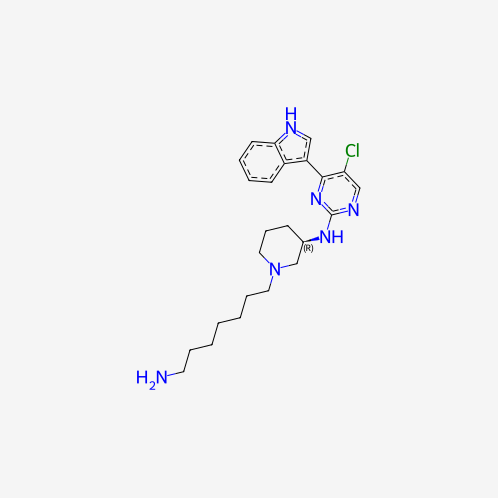 NCCCCCCCN1CCC[C@@H](Nc2ncc(Cl)c(-c3c[nH]c4ccccc34)n2)C1